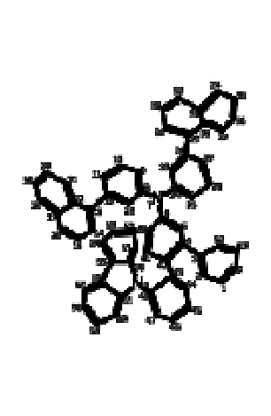 c1ccc(-c2cc(N(c3cccc(-c4cccc5ccccc45)c3)c3cccc(-c4cccc5ccccc45)c3)ccc2-c2ccccc2-n2c3ccccc3c3ccccc32)cc1